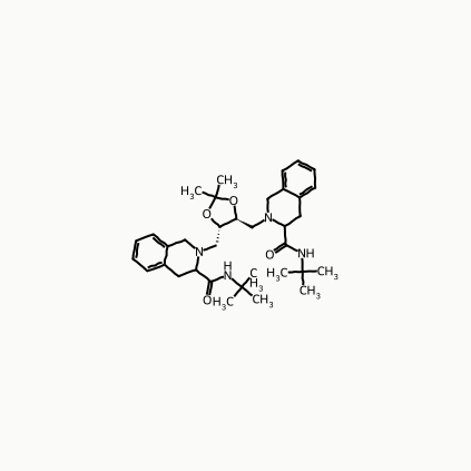 CC(C)(C)NC(=O)C1Cc2ccccc2CN1C[C@@H]1OC(C)(C)O[C@H]1CN1Cc2ccccc2CC1C(=O)NC(C)(C)C